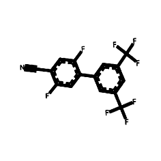 N#Cc1cc(F)c(-c2cc(C(F)(F)F)cc(C(F)(F)F)c2)cc1F